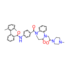 Cc1cccc(C)c1-c1ccccc1C(=O)Nc1ccc(C(=O)N2CCC(=O)N(CC(=O)N3CCN(C)CC3)c3ccccc32)cc1